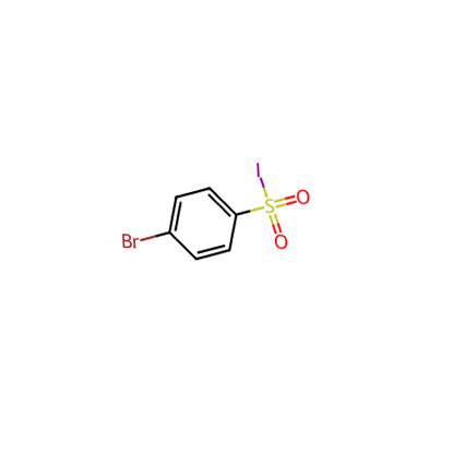 O=S(=O)(I)c1ccc(Br)cc1